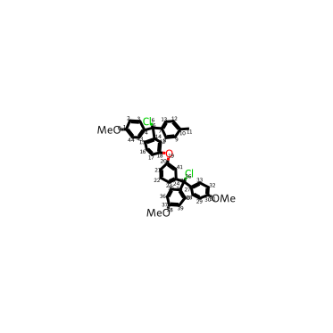 COc1ccc(C(Cl)(c2ccc(C)cc2)c2cccc(Oc3cccc(C(Cl)(c4ccc(OC)cc4)c4ccc(OC)cc4)c3)c2)cc1